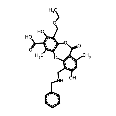 CCOCc1c(O)c(C(=O)O)c(C)c2c1OC(=O)c1c(C)cc(O)c(CNCc3ccccc3)c1O2